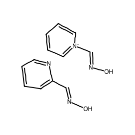 ON=C[n+]1ccccc1.ON=Cc1ccccn1